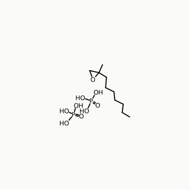 CCCCCCCC1(C)CO1.O=P(O)(O)O.O=P(O)(O)O